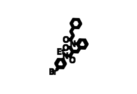 CCN(C(=O)c1cc2ccccc2n(C(=O)CCC2CCCCC2)c1=O)c1ccc(Br)cc1